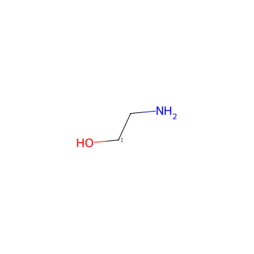 NC[C]O